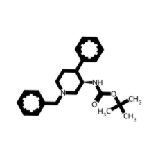 CC(C)(C)OC(=O)N[C@H]1CN(Cc2ccccc2)CCC1c1ccccc1